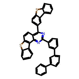 c1ccc(-c2cccc(-c3cccc(-c4nc(-c5ccc6sc7ccccc7c6c5)c5ccc6sc7ccccc7c6c5n4)c3)c2)cc1